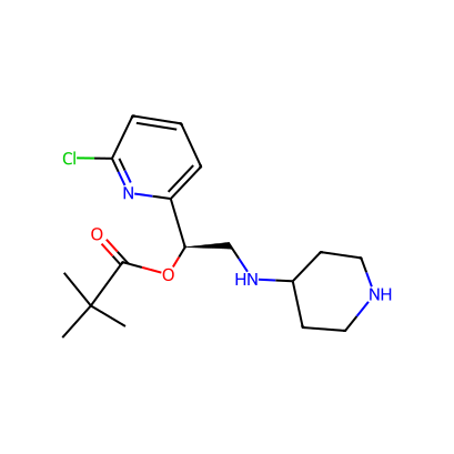 CC(C)(C)C(=O)O[C@H](CNC1CCNCC1)c1cccc(Cl)n1